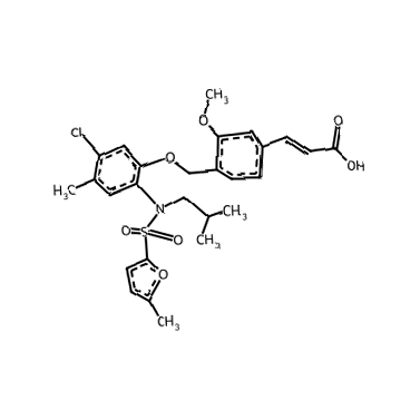 COc1cc(C=CC(=O)O)ccc1COc1cc(Cl)c(C)cc1N(CC(C)C)S(=O)(=O)c1ccc(C)o1